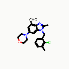 Cc1cccc(Cn2c(C)nc3c(C=O)cc(N4CCOCC4)cc32)c1Cl